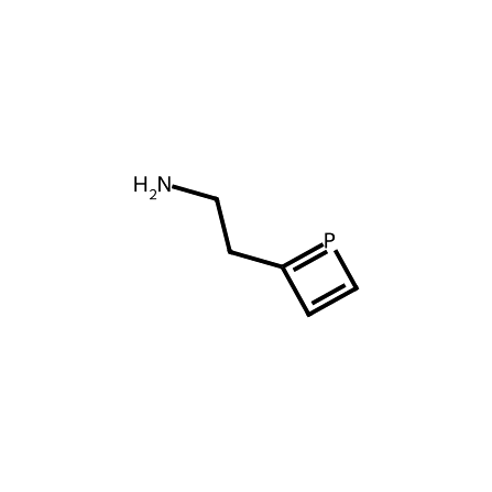 NCCC1=PC=C1